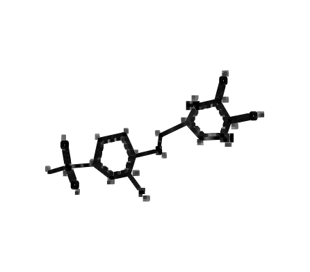 CS(=O)(=O)c1ccc(SCc2c[nH]c(=O)c(=O)[nH]2)c(F)c1